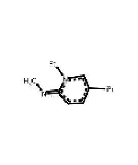 CCn1cc(C(C)C)cc/c1=N/C